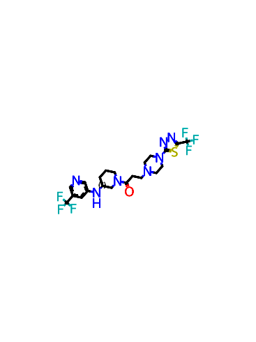 O=C(CCN1CCN(c2nnc(C(F)(F)F)s2)CC1)N1CCC[C@H](Nc2cncc(C(F)(F)F)c2)C1